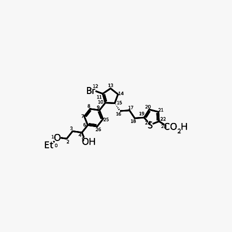 CCOCCC(O)c1ccc(C2=C(Br)CC[C@@H]2CCCc2ccc(C(=O)O)s2)cc1